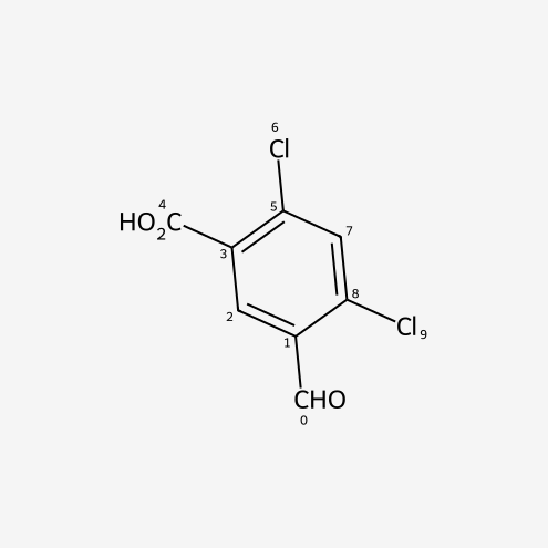 O=Cc1cc(C(=O)O)c(Cl)cc1Cl